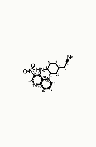 N#CCC1CCC(Nc2c([N+](=O)[O-])cnc3cccnc23)CC1